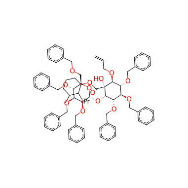 C=CCO[C@H]1[C@H](OCc2ccccc2)[C@@H](OCc2ccccc2)[C@H](OCc2ccccc2)[C@H](O[C@H]2O[C@H](COCc3ccccc3)[C@@H](OCc3ccccc3)[C@H](OCc3ccccc3)[C@@H]2OCc2ccccc2)[C@@]1(O)C(=O)OC1CCCC(C)C1C(C)C